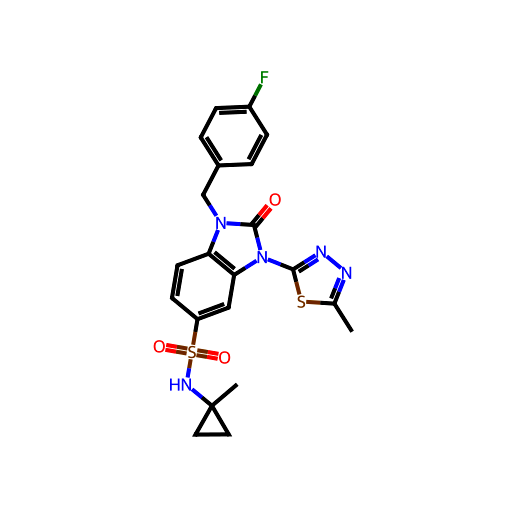 Cc1nnc(-n2c(=O)n(Cc3ccc(F)cc3)c3ccc(S(=O)(=O)NC4(C)CC4)cc32)s1